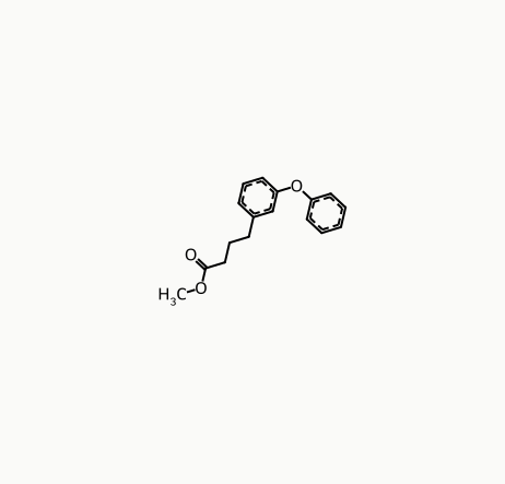 COC(=O)CCCc1cccc(Oc2ccccc2)c1